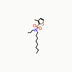 CCCCCCCCN(CCC)S(=O)(=O)c1sccc1C